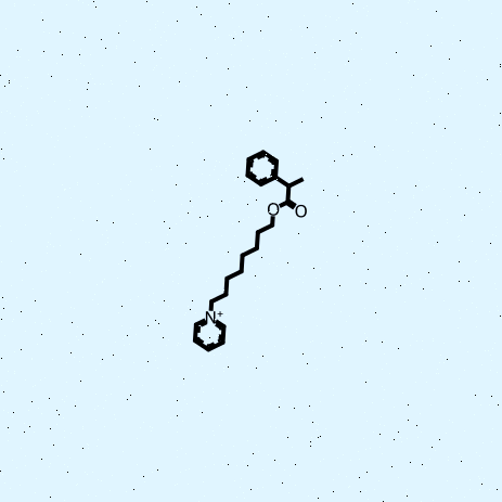 CC(C(=O)OCCCCCCCC[n+]1ccccc1)c1ccccc1